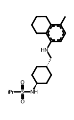 Cc1ccc(NC[C@H]2CC[C@H](NS(=O)(=O)C(C)C)CC2)c2c1CCCC2